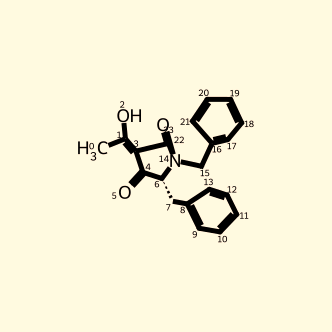 C/C(O)=C1\C(=O)[C@@H](Cc2ccccc2)N(Cc2ccccc2)C1=O